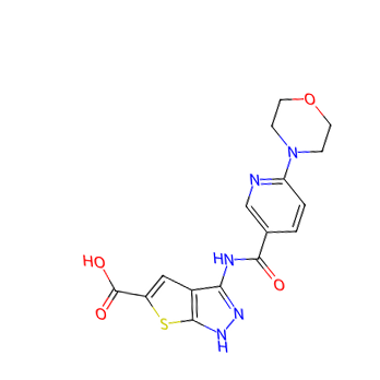 O=C(Nc1n[nH]c2sc(C(=O)O)cc12)c1ccc(N2CCOCC2)nc1